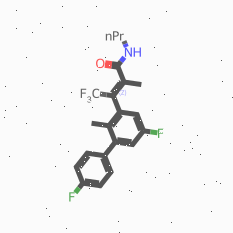 CCCNC(=O)/C(C)=C(/c1cc(F)cc(-c2ccc(F)cc2)c1C)C(F)(F)F